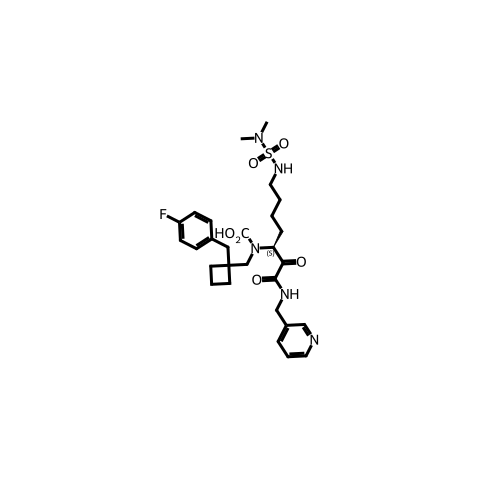 CN(C)S(=O)(=O)NCCCC[C@@H](C(=O)C(=O)NCc1cccnc1)N(CC1(Cc2ccc(F)cc2)CCC1)C(=O)O